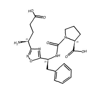 N[C@@H](CCC(=O)O)c1noc([C@H](Cc2ccccc2)NC(=O)N2CCC[C@H]2C(=O)O)n1